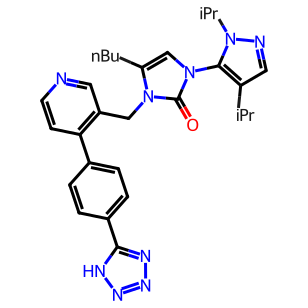 CCCCc1cn(-c2c(C(C)C)cnn2C(C)C)c(=O)n1Cc1cnccc1-c1ccc(-c2nnn[nH]2)cc1